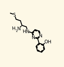 CSCC[C@H](N)CNc1ccnc(-c2ccccc2O)n1